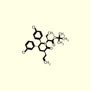 C=CC[C@H]1C[C@H](c2cccc(Cl)c2)[C@@H](c2ccc(Cl)cc2)N([C@@H](CC)C(=O)OC(C)(C)C)C1=O